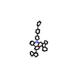 c1ccc(-c2ccc(-c3ccc(N(c4ccc5c6ccccc6c6ccccc6c5c4)c4ccccc4-c4cccc(-c5cccc6ccccc56)c4)cc3)cc2)cc1